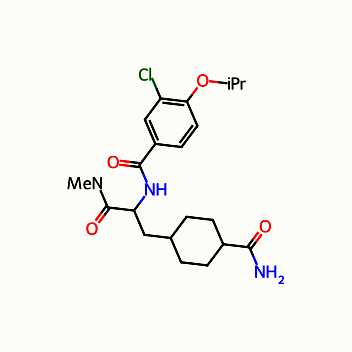 CNC(=O)C(CC1CCC(C(N)=O)CC1)NC(=O)c1ccc(OC(C)C)c(Cl)c1